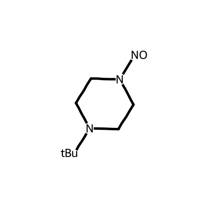 CC(C)(C)N1CCN(N=O)CC1